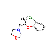 CC(CN1CCOCC1)Oc1cc[c]cc1Cl